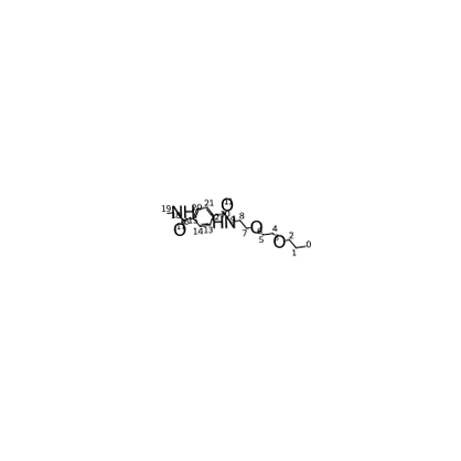 CCCOCCOCCNC(=O)c1ccc(C(=O)NC)cc1